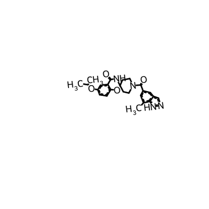 Cc1cc(C(=O)N2CCC3(CC2)NC(=O)c2cc(OC(C)C)ccc2O3)cc2cn[nH]c12